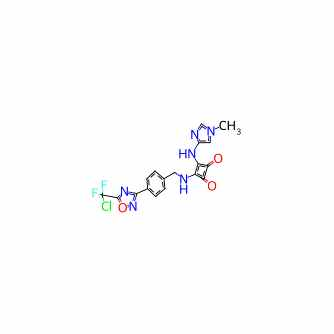 Cn1cnc(Nc2c(NCc3ccc(-c4noc(C(F)(F)Cl)n4)cc3)c(=O)c2=O)c1